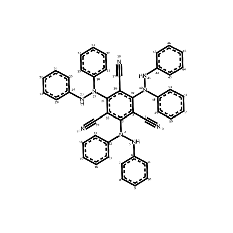 N#Cc1c(N(Nc2ccccc2)c2ccccc2)c(C#N)c(N(Nc2ccccc2)c2ccccc2)c(C#N)c1N(Nc1ccccc1)c1ccccc1